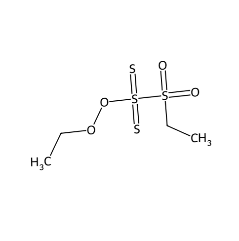 CCOOS(=S)(=S)S(=O)(=O)CC